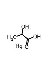 CC(O)C(=O)O.[Hg]